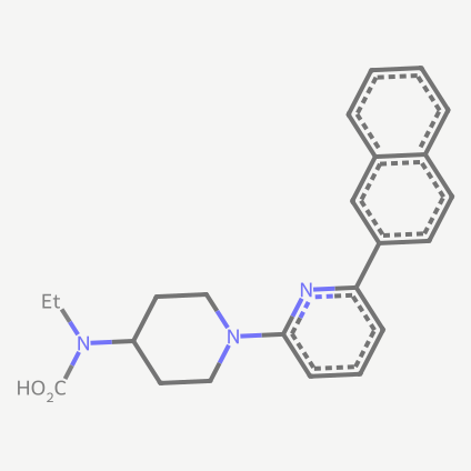 CCN(C(=O)O)C1CCN(c2cccc(-c3ccc4ccccc4c3)n2)CC1